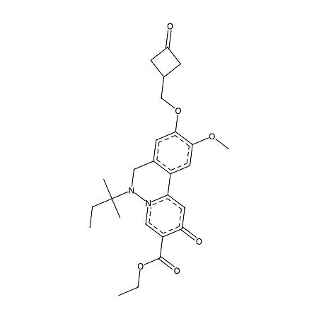 CCOC(=O)c1cn2c(cc1=O)-c1cc(OC)c(OCC3CC(=O)C3)cc1CN2C(C)(C)CC